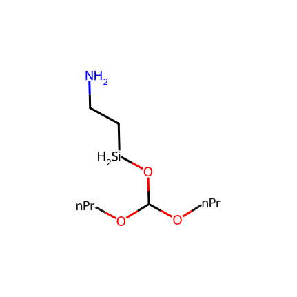 CCCOC(OCCC)O[SiH2]CCN